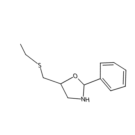 CCSCC1CNC(c2ccccc2)O1